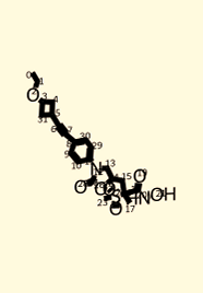 CCOC1CC(C#Cc2ccc(N3CC(CC(C)(C(=O)NO)S(C)(=O)=O)OC3=O)cc2)C1